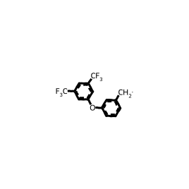 [CH2]c1cccc(Oc2cc(C(F)(F)F)cc(C(F)(F)F)c2)c1